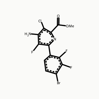 COC(=O)c1nc(-c2ccc(Br)c(F)c2F)c(F)c(N)c1Cl